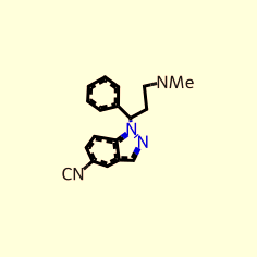 [C-]#[N+]c1ccc2c(cnn2C(CCNC)c2ccccc2)c1